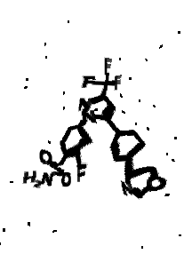 NS(=O)(=O)c1ccc(-n2nc(C(F)(F)F)cc2-c2ccc(-c3cocn3)cc2)cc1F